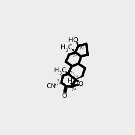 [C-]#[N+][C@@H]1C[C@]2(C)C3CC[C@@]4(C)C(CC[C@@H]4O)C3CC[C@]23O[C@@H]3C1=O